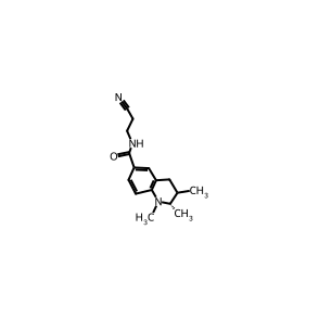 CC1Cc2cc(C(=O)NCCC#N)ccc2N(C)[C@H]1C